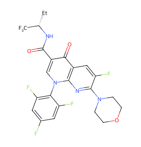 CC[C@H](NC(=O)c1cn(-c2c(F)cc(F)cc2F)c2nc(N3CCOCC3)c(F)cc2c1=O)C(F)(F)F